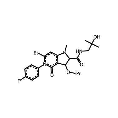 CCc1cc2c(c(=O)n1-c1ccc(F)cc1)C(OC(C)C)C(C(=O)NCC(C)(C)O)N2C